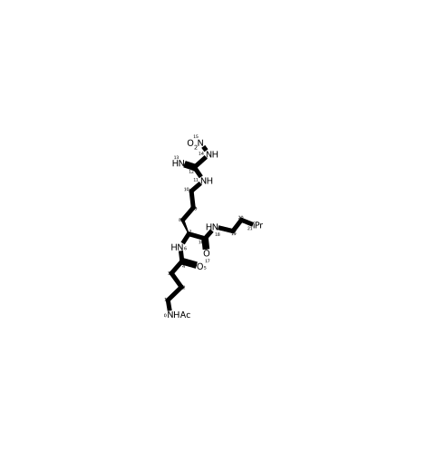 CC(=O)NCCCC(=O)N[C@@H](CCCNC(=N)N[N+](=O)[O-])C(=O)N[CH]CC(C)C